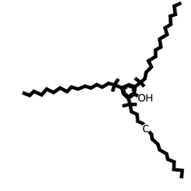 CCCCCCCCCCCCCCCC(C)(C)c1cc(C(C)(C)CCCCCCCCCCCCCCC)c(O)c(C(C)(C)CCCCCCCCCCCCCCC)c1